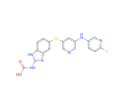 O=C(O)Nc1nc2cc(Sc3cncc(Nc4ccc(F)nc4)c3)ccc2[nH]1